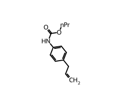 C=CCc1ccc(NC(=O)OCCC)cc1